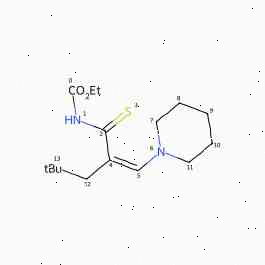 CCOC(=O)NC(=S)C(=CN1CCCCC1)CC(C)(C)C